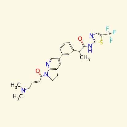 CC(C(=O)Nc1ncc(C(F)(F)F)s1)c1cccc(-c2cnc3c(c2)CCN3C(=O)/C=C/CN(C)C)c1